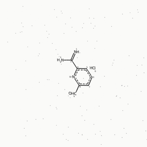 Cl.N=C(N)c1cccc(C=O)n1